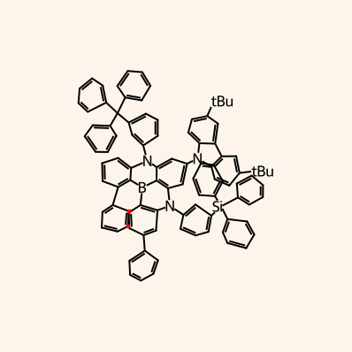 CC(C)(C)c1ccc2c(c1)c1cc(C(C)(C)C)ccc1n2-c1cc2c3c(c1)N(c1cccc(C(c4ccccc4)(c4ccccc4)c4ccccc4)c1)c1cccc(-c4ccccc4)c1B3c1ccc(-c3ccccc3)cc1N2c1cccc([Si](c2ccccc2)(c2ccccc2)c2ccccc2)c1